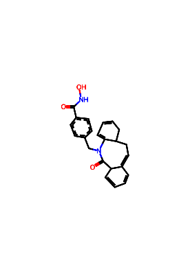 O=C(NO)c1ccc(CN2C(=O)C3C=CC=C/C3=C/CC3CC=CC=C32)cc1